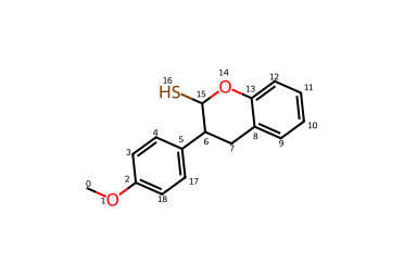 COc1ccc(C2Cc3ccccc3OC2S)cc1